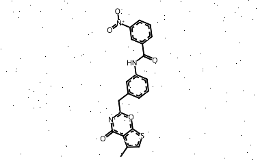 Cc1csc2oc(Cc3cccc(NC(=O)c4cccc([N+](=O)[O-])c4)c3)nc(=O)c12